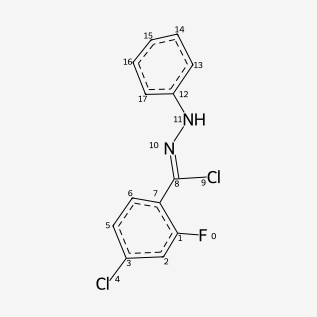 Fc1cc(Cl)ccc1/C(Cl)=N/Nc1ccccc1